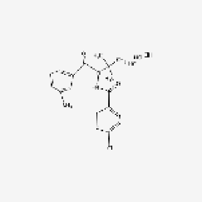 Cc1cccc(C(=O)N(NC(=O)c2ccc(Cl)cc2)C(C)(C)C)c1.Cl.Cl.Cl